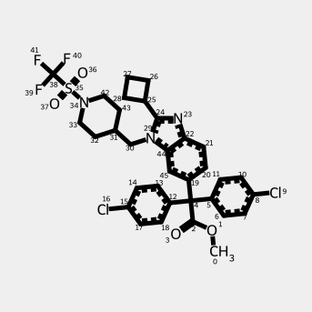 COC(=O)C(c1ccc(Cl)cc1)(c1ccc(Cl)cc1)c1ccc2nc(C3CCC3)n(CC3CCN(S(=O)(=O)C(F)(F)F)CC3)c2c1